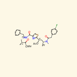 COC(=O)[C@@H](C)C[C@H](Cc1ccccc1)NC(=O)c1csc([C@@H](CC(C(C)C)N(C)C(=O)Cc2ccc(F)cc2)OC(C)=O)n1